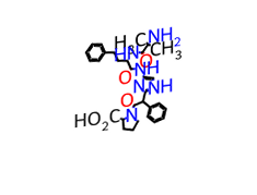 CC(C)(N)C(=O)NC(CCc1ccccc1)C(=O)Nc1c[nH]c(C(C(=O)N2CCCC2C(=O)O)c2ccccc2)n1